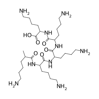 CC(CCCCN)C(=O)NC(CCCCN)C(=O)NC(CCCCN)C(=O)NC(CCCCN)C(=O)NC(CCCCN)C(=O)O